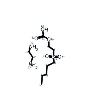 CCCCCS(=O)(=O)CCOC(=O)O.NCCN